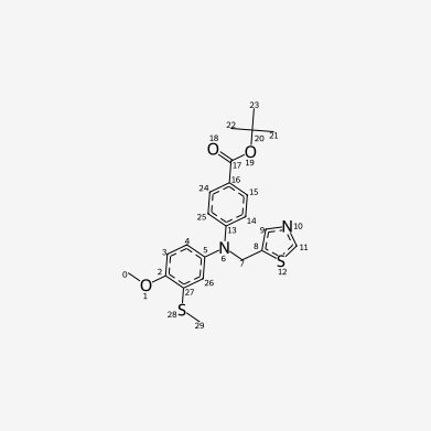 COc1ccc(N(Cc2cncs2)c2ccc(C(=O)OC(C)(C)C)cc2)cc1SC